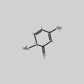 CCCCn1ccc(O)cc1=O